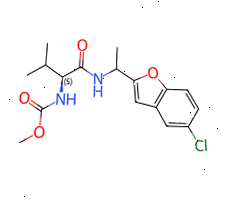 COC(=O)N[C@H](C(=O)NC(C)c1cc2cc(Cl)ccc2o1)C(C)C